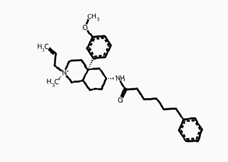 C=CC[N@@+]1(C)CC[C@@]2(c3cccc(OC)c3)C[C@H](NC(=O)CCCCCc3ccccc3)CCC2C1